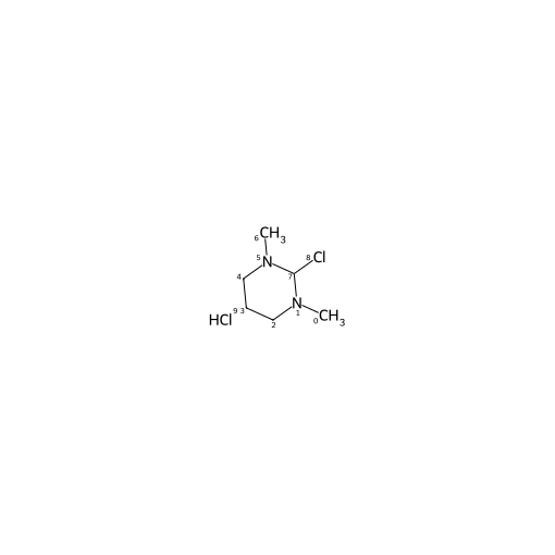 CN1CCCN(C)C1Cl.Cl